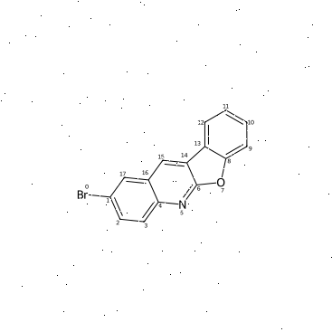 Brc1ccc2nc3oc4ccccc4c3cc2c1